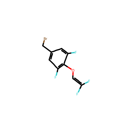 FC(F)=COc1c(F)cc(CBr)cc1F